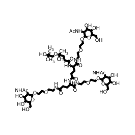 CC(=O)NC1C(OCCOCCNC(=O)CCC(NC(=O)CCC(NC(=O)CCC(C)(C)OCC(C)(C)O)C(=O)NCCOCCOC2OC(CO)C(O)C(O)C2NC(C)=O)C(=O)NCCOCCOC2OC(CO)C(O)C(O)C2NC(C)=O)OC(CO)C(O)C1O